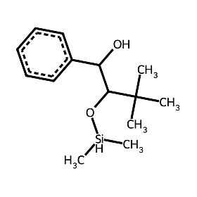 C[SiH](C)OC(C(O)c1ccccc1)C(C)(C)C